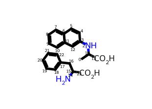 CC(Nc1ccc2ccccc2c1)C(=O)O.NC(Cc1ccccc1)C(=O)O